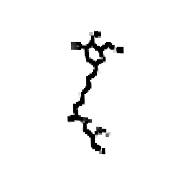 C=C(CCOCCOC1C[C@@H](O)C(O)C(CO)O1)NC[C@H](N)C=O